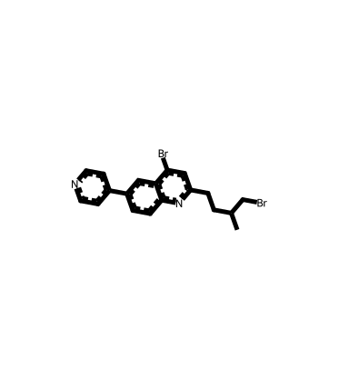 CC(CBr)CCc1cc(Br)c2cc(-c3ccncc3)ccc2n1